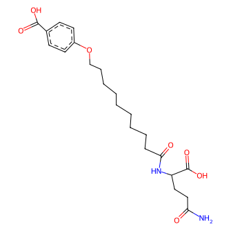 NC(=O)CCC(NC(=O)CCCCCCCCCOc1ccc(C(=O)O)cc1)C(=O)O